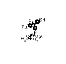 CC/C(=C(\c1ccc(O)cc1)c1ccc(OCCN(C/C=C/C(=O)N(C)C)C(=O)O)cc1)c1ccc(C(F)(F)F)cc1